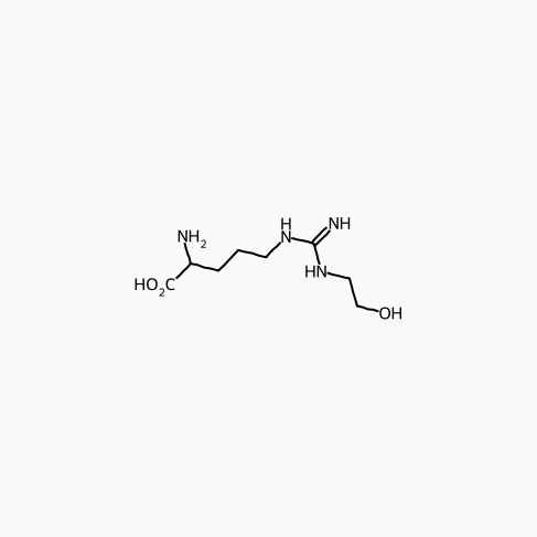 N=C(NCCO)NCCCC(N)C(=O)O